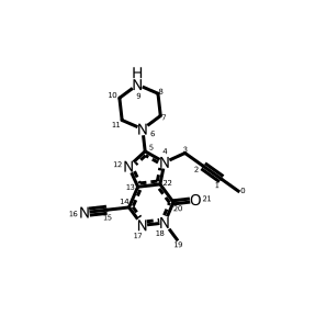 CC#CCn1c(N2CCNCC2)nc2c(C#N)nn(C)c(=O)c21